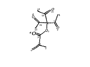 C=C(C)C(=O)OC(C(C)=O)(C(C)=O)C(C)=O